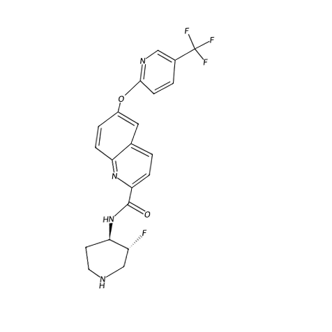 O=C(N[C@@H]1CCNC[C@H]1F)c1ccc2cc(Oc3ccc(C(F)(F)F)cn3)ccc2n1